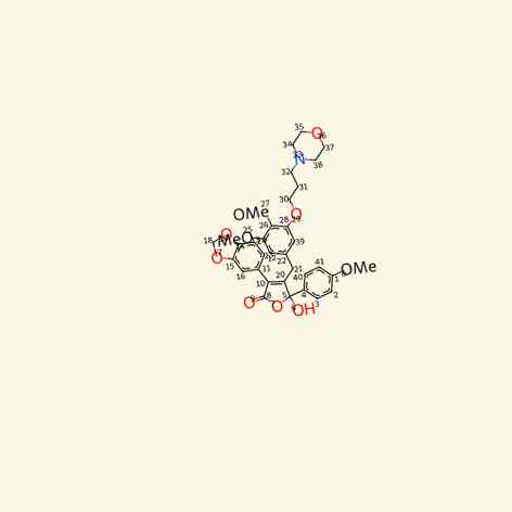 COc1ccc(C2(O)OC(=O)C(c3ccc4c(c3)OCO4)=C2Cc2cc(OC)c(OC)c(OCCCN3CCOCC3)c2)cc1